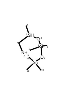 C[SiH](CN)O[Si](C)(C)O[Si](C)(C)C